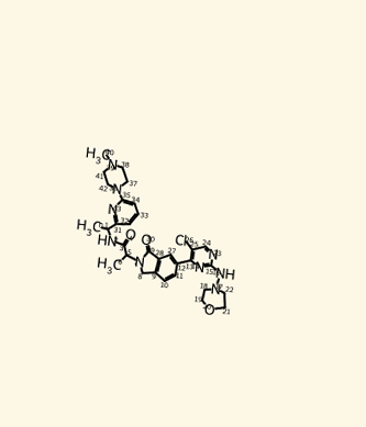 CC(NC(=O)C(C)N1Cc2ccc(-c3nc(NN4CCOCC4)ncc3Cl)cc2C1=O)c1cccc(N2CCN(C)CC2)n1